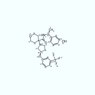 C[C@H](NC(=O)C1(N2CC[C@@H](Oc3cccc(C(F)(F)F)c3)C2)CCOCC1)c1cccnc1.Cl